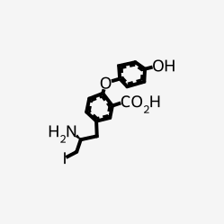 N[C@H](CI)Cc1ccc(Oc2ccc(O)cc2)c(C(=O)O)c1